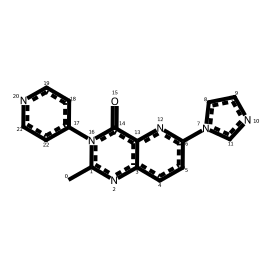 Cc1nc2ccc(-n3ccnc3)nc2c(=O)n1-c1ccncc1